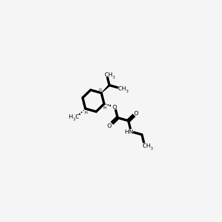 CCNC(=O)C(=O)O[C@@H]1C[C@H](C)CC[C@H]1C(C)C